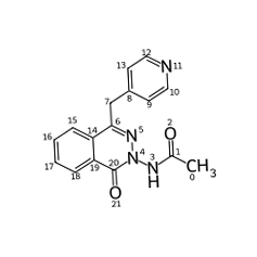 CC(=O)Nn1nc(Cc2ccncc2)c2ccccc2c1=O